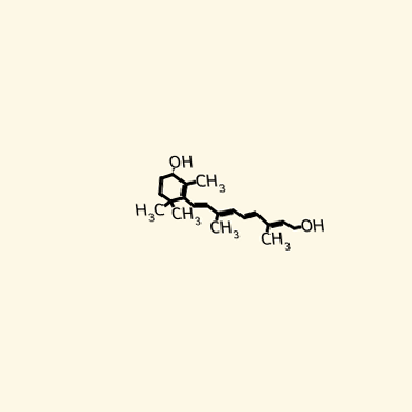 CC1=C(/C=C/C(C)=C/C=C/C(C)=C/CO)C(C)(C)CC[C@@H]1O